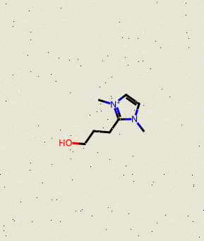 Cn1cc[n+](C)c1CCCO